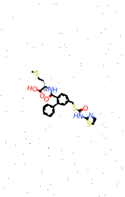 CSCC[C@H](NC(=O)c1ccc(CSC(=O)Nc2nccs2)cc1-c1ccccc1)C(=O)O